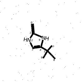 C=C1NC=C(C(C)(C)C)N1